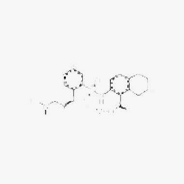 CCN(CC)C/C=C\c1ccccc1S(=O)(=O)Nc1ccc2c(c1C(=O)OC)CCCC2